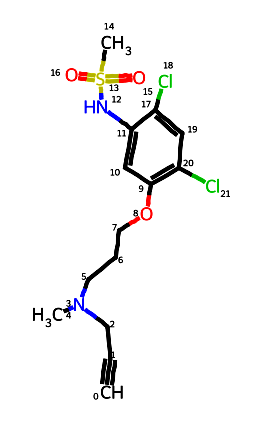 C#CCN(C)CCCOc1cc(NS(C)(=O)=O)c(Cl)cc1Cl